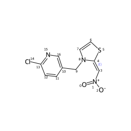 O=[N+]([O-])/C=C1/SC=CN1Cc1ccc(Cl)nc1